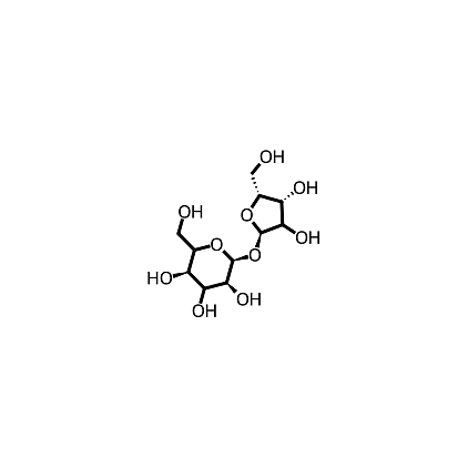 OCC1O[C@@H](O[C@H]2O[C@H](CO)[C@H](O)C2O)[C@@H](O)C(O)[C@H]1O